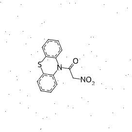 O=C(C[N+](=O)[O-])N1c2ccccc2Sc2ccccc21